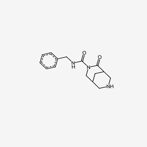 O=C(NCc1ccccc1)N1CC2CNCC(C2)C1=O